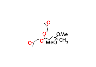 CO[Si](C)(CCC(OCC1CO1)OCC1CO1)OC